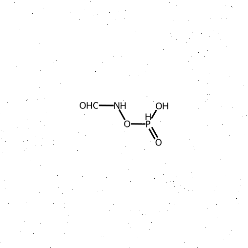 O=CNO[PH](=O)O